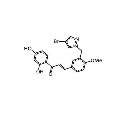 COc1ccc(/C=C/C(=O)c2ccc(O)cc2O)cc1Cn1cc(Br)cn1